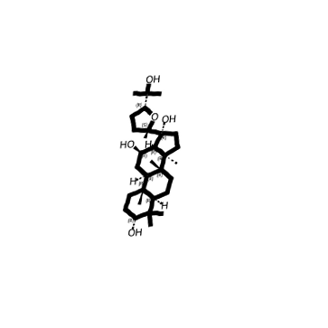 CC(C)(O)[C@H]1CC[C@@](C)([C@@]2(O)CC[C@]3(C)[C@@H]2[C@H](O)C[C@@H]2[C@@]4(C)CC[C@@H](O)C(C)(C)[C@@H]4CC[C@]23C)O1